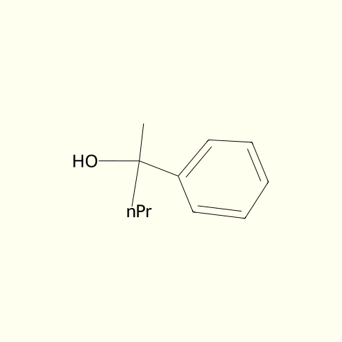 CCCC(C)(O)c1ccccc1